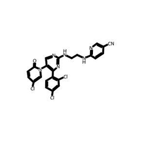 N#Cc1ccc(NCCNc2ncc(-n3cc(Cl)ccc3=O)c(-c3ccc(Cl)cc3Cl)n2)nc1